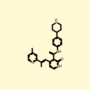 C=C(Nc1ccc(C2CCNCC2)cc1)c1c(/C=C(\C)c2cc(C)ccn2)cc[nH]c1=O